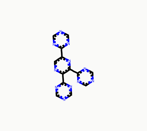 c1ncnc(-c2cnc(-c3ncncn3)c(-c3ncncn3)n2)n1